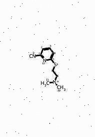 [C-]#[N+]c1cccc(SCCN(C)C)n1